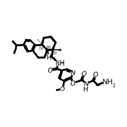 COc1cc(C(=O)NC[C@@]2(C)CCC[C@]3(C)c4ccc(C(C)C)cc4CC[C@@H]23)cnc1OC(=O)NC(=O)CN